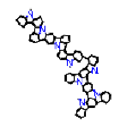 Cn1c2ccccc2c2c3c4cccc5c6cc7c(cc6n(c3ccc21)c54)c1cccc2c3c4c5ccc(-c6cccc8c6c6cc9c%10ccccc%10n%10c%11cc%12c%13c%14c(cc%15c%16ccccc%16n(c%12cc%11c(c6n8C)c9%10)c%15%13)c6ccccc6n%14C)cc5n(C)c4ccc3n7c12